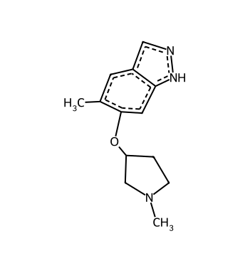 Cc1cc2cn[nH]c2cc1OC1CCN(C)C1